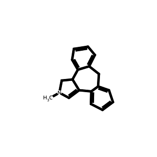 CN1C=C2c3ccccc3Cc3ccccc3C2C1